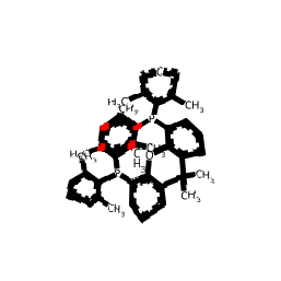 Cc1cccc(C)c1P(c1cccc2c1Oc1c(P(c3c(C)cccc3C)c3c(C)cccc3C)cccc1C2(C)C)c1c(C)cccc1C